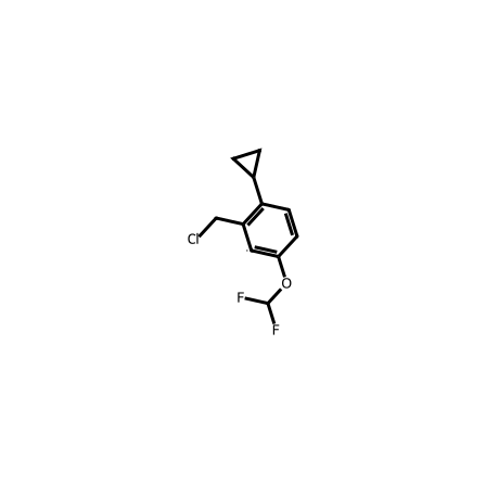 FC(F)Oc1[c]c(CCl)c(C2CC2)cc1